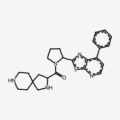 O=C(C1CC2(CCNCC2)CN1)N1CCCC1c1nc2c(-c3ccccc3)ccnc2s1